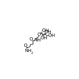 NC(=O)CCCC(=O)NCCO[C@H](CO)[C@@H](O)[C@H](O)CO